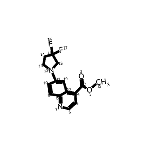 COC(=O)c1ccnc2ccc(N3CCC(F)(F)C3)cc12